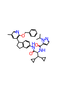 Cc1cnc(OCc2ccccc2)c(C2CCc3cc(NC(=O)[C@@H](NC(=O)c4ccnn4C(C)C)C(C4CC4)C4CC4)ccc32)c1